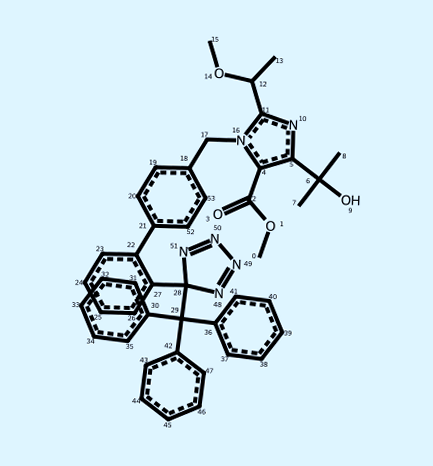 COC(=O)c1c(C(C)(C)O)nc(C(C)OC)n1Cc1ccc(-c2ccccc2C2(C(c3ccccc3)(c3ccccc3)c3ccccc3)N=NN=N2)cc1